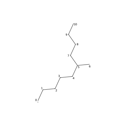 [CH2]CCCCC(C)CCCC